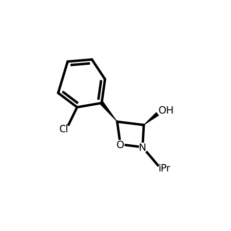 CC(C)N1O[C@@H](c2ccccc2Cl)[C@H]1O